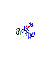 NC(CNc1cccnc1)c1nc(OCC23CCCN2CCC3)nc2c(F)c(-c3cccc4cccc(F)c34)ncc12